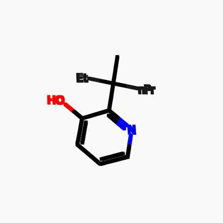 CCCC(C)(CC)c1ncccc1O